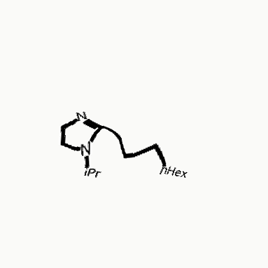 CCCCCCCCCC1=NCCN1C(C)C